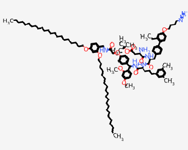 CCCCCCCCCCCCCCCCCCCCCCOc1ccc(CNC(=O)COc2ccc(C(NC(=O)[C@H](CCCc3cc(C)cc(C)c3)NC(=O)[C@H](Cc3ccc(-c4ccc(OCCCCN=[N+]=[N-])cc4CC)cc3)NC(=O)[C@@H](N)CC(=O)OC(C)(C)C)c3ccc(OC)cc3OC)cc2)c(OCCCCCCCCCCCCCCCCCCCCCC)c1